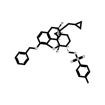 Cc1ccc(S(=O)(=O)OC[C@H]2CC[C@@]3(O)[C@H]4Cc5ccc(OCc6ccccc6)c6c5[C@@]3(CCN4CC3CC3)[C@H]2O6)cc1